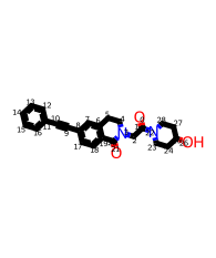 O=C(CN1CCc2cc(C#Cc3ccccc3)ccc2C1=O)N1CCC(O)CC1